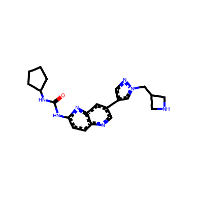 O=C(Nc1ccc2ncc(-c3cnn(CC4CNC4)c3)cc2n1)NC1CCCC1